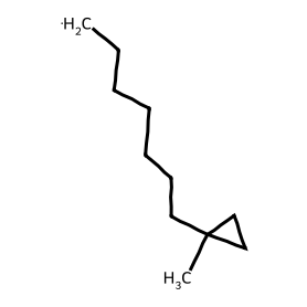 [CH2]CCCCCCC1(C)CC1